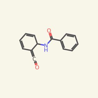 O=C=C1C=CC=CC1NC(=O)c1ccccc1